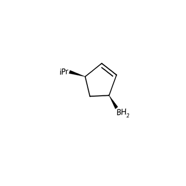 B[C@@H]1C=C[C@H](C(C)C)C1